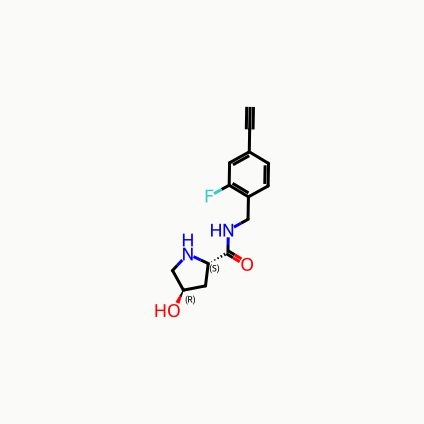 C#Cc1ccc(CNC(=O)[C@@H]2C[C@@H](O)CN2)c(F)c1